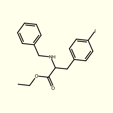 CCOC(=O)C(Cc1ccc(I)cc1)NCc1ccccc1